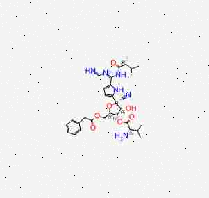 CC(C)[C@H](N)C(=O)O[C@H]1[C@@H](O)[C@](C#N)(c2ccc(/C(=N\C=N)NC(=O)[C@H](C)C(C)C)[nH]2)O[C@@H]1COC(=O)Cc1ccccc1